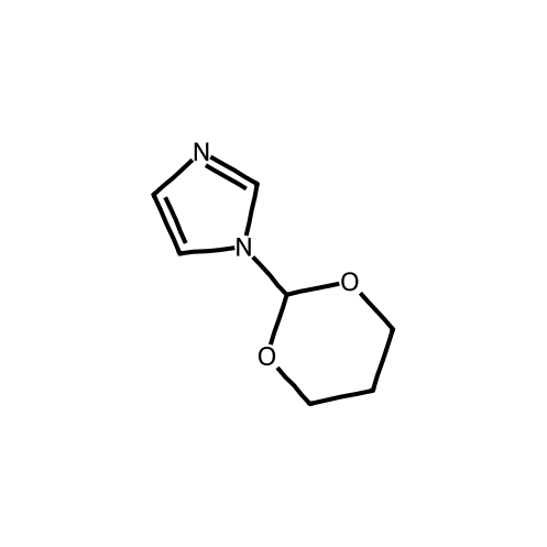 c1cn(C2OCCCO2)cn1